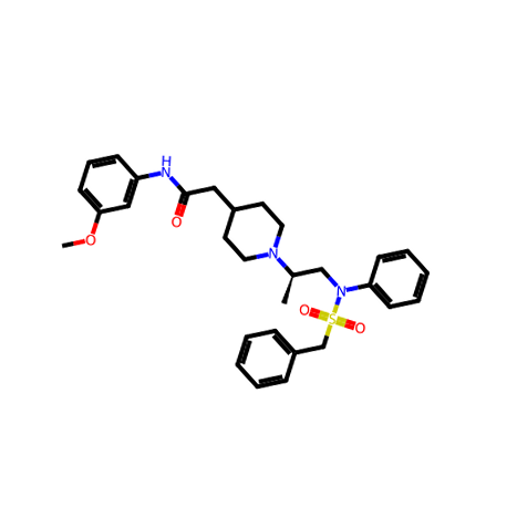 COc1cccc(NC(=O)CC2CCN([C@H](C)CN(c3ccccc3)S(=O)(=O)Cc3ccccc3)CC2)c1